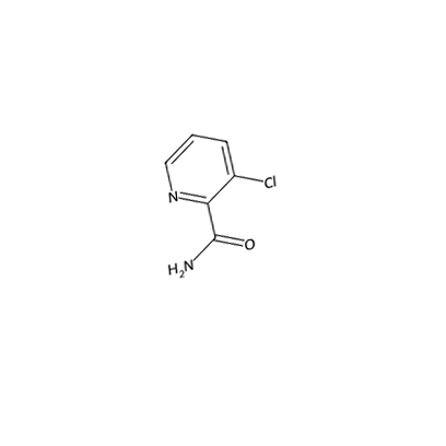 NC(=O)c1ncccc1Cl